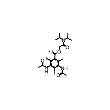 CC(=O)Nc1c(I)c(NC(C)=O)c(I)c(C(=O)OCC(=O)N(C(C)C)C(C)C)c1I